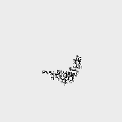 COc1nc(-c2ccnc(-c3cccc(Nc4nccc(CNC5CCN(C(C)=O)CC5)c4F)c3Cl)c2Cl)ccc1CNCCCF